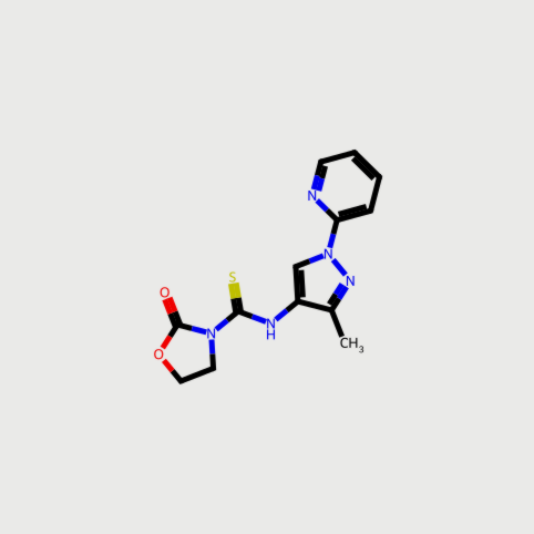 Cc1nn(-c2ccccn2)cc1NC(=S)N1CCOC1=O